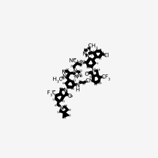 Cn1cnnc1-c1ccc(Cl)cc1-c1cc(NCC(C#N)Cn2cnnc2-c2cnn(C)c2-c2cc(NCCC#N)cc(N3Cc4c(cc(CN5CCC6(CC6)C5)cc4C(F)(F)F)C3=O)c2)cc(N2Cc3c(cccc3C(F)(F)F)C2=O)c1